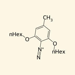 CCCCCCOc1cc(C)cc(OCCCCCC)c1[N+]#N